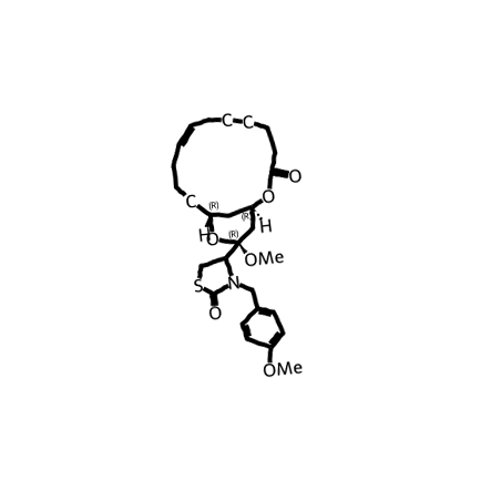 COc1ccc(CN2C(=O)SCC2[C@@]2(OC)C[C@H]3C[C@@H](CCCC=CCCCCCC(=O)O3)O2)cc1